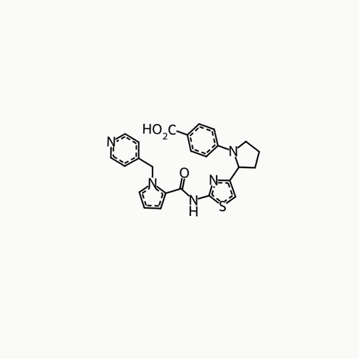 O=C(O)c1ccc(N2CCCC2c2csc(NC(=O)c3cccn3Cc3ccncc3)n2)cc1